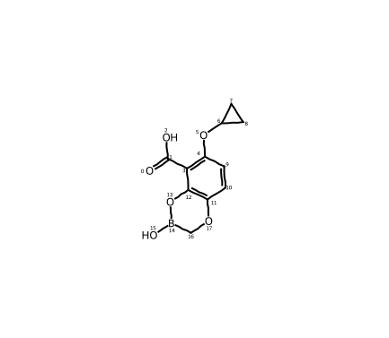 O=C(O)c1c(OC2CC2)ccc2c1OB(O)CO2